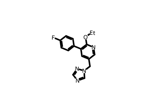 CCOc1ncc(Cn2cncn2)cc1-c1ccc(F)cc1